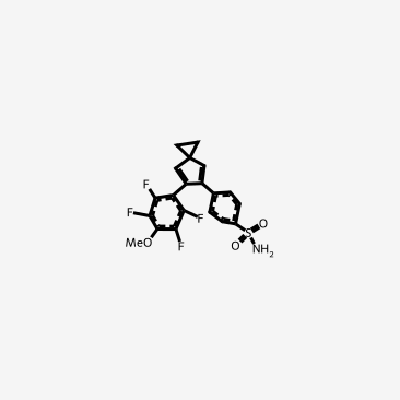 COc1c(F)c(F)c(C2=CC3(C=C2c2ccc(S(N)(=O)=O)cc2)CC3)c(F)c1F